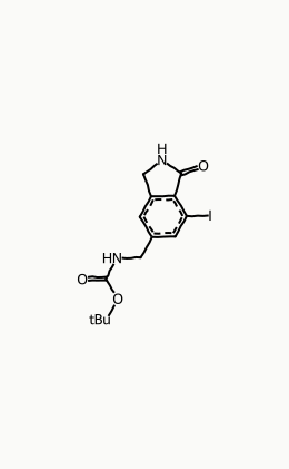 CC(C)(C)OC(=O)NCc1cc(I)c2c(c1)CNC2=O